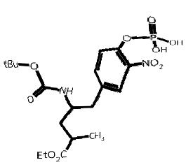 CCOC(=O)C(C)CC(Cc1ccc(OP(=O)(O)O)c([N+](=O)[O-])c1)NC(=O)OC(C)(C)C